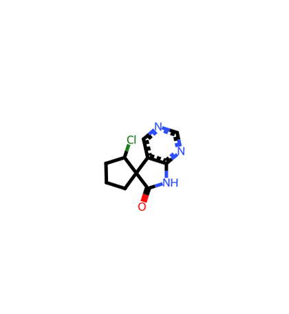 O=C1Nc2ncncc2C12CCCC2Cl